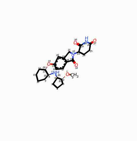 CO[C@@H]1CCC[C@H]1N[C@H]1CCCC[C@@H]1Oc1ccc2c(c1)CN(C1CCC(=O)NC1=O)C2=O